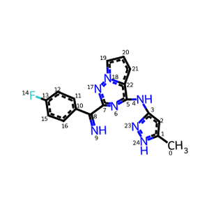 Cc1cc(Nc2nc(C(=N)c3ccc(F)cc3)nn3cccc23)n[nH]1